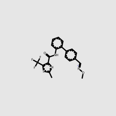 CO/N=C/c1ccc(-c2ccccc2NC(=O)c2nc(C)sc2C(F)(F)F)cc1